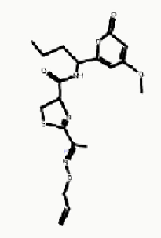 C=CCO/N=C(\C)C1=NC(C(=O)NC(CCC)c2cc(OC)cc(=O)o2)CS1